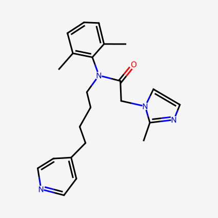 Cc1cccc(C)c1N(CCCCc1ccncc1)C(=O)Cn1ccnc1C